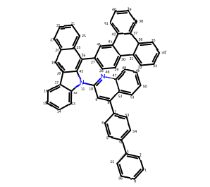 c1ccc(-c2ccc(-c3cc(-n4c5ccccc5c5cc6ccccc6c(-c6ccc7c8ccccc8c8ccccc8c7c6)c54)nc4ccccc34)cc2)cc1